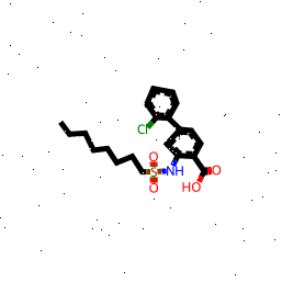 CCCCCCCCS(=O)(=O)Nc1cc(-c2ccccc2Cl)ccc1C(=O)O